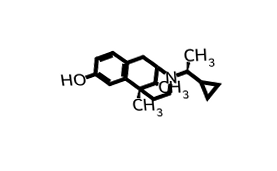 CC1C2Cc3ccc(O)cc3[C@@]1(C)CCN2[C@@H](C)C1CC1